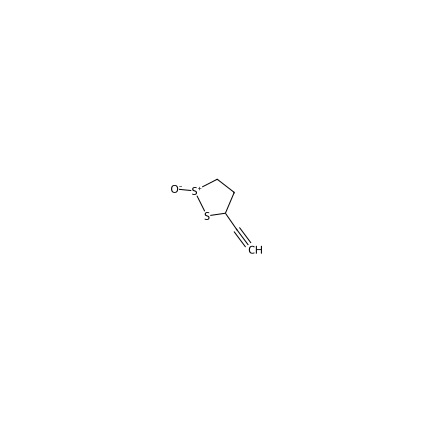 C#CC1CC[S+]([O-])S1